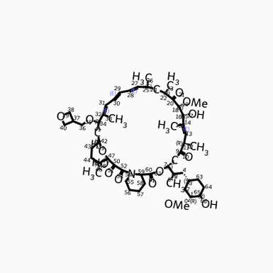 CO[C@@H]1C[C@H](C[C@@H](C)[C@@H]2CC(=O)[C@H](C)/C=C(\C)[C@@H](O)[C@@H](OC)C(=O)[C@H](C)C[C@H](C)/C=C/C=C/C=C(\C)[C@H](OCC3COC3)C[C@@H]3CC[C@@H](C)[C@@](O)(O3)C(=O)C(=O)N3CCCCC3C(=O)O2)CC[C@H]1O